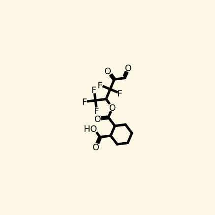 O=CC(=O)C(F)(F)C(OC(=O)C1CCCCC1C(=O)O)C(F)(F)F